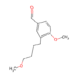 COCCCCc1cc(C=O)ccc1OC